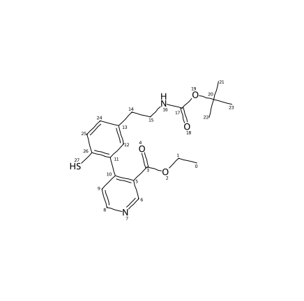 CCOC(=O)c1cnccc1-c1cc(CCNC(=O)OC(C)(C)C)ccc1S